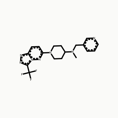 CN(Cc1cccnc1)C1CCN(c2ccc3nnc(C(F)(F)F)n3n2)CC1